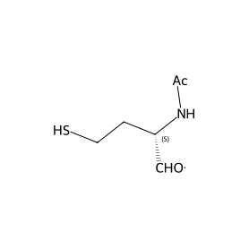 CC(=O)N[C@H]([C]=O)CCS